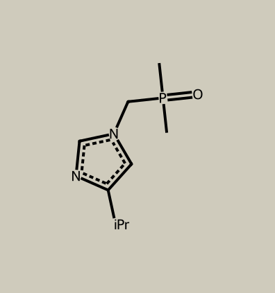 CC(C)c1cn(CP(C)(C)=O)cn1